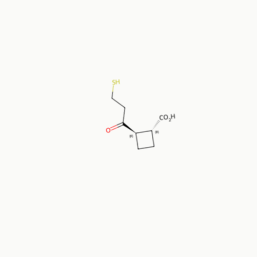 O=C(O)[C@@H]1CC[C@H]1C(=O)CCS